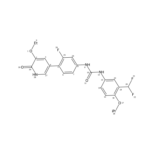 CCOc1cc(-c2ccc(NC(=O)Nc3ccc(OC(C)C)c(C(F)F)c3)cc2F)c[nH]c1=O